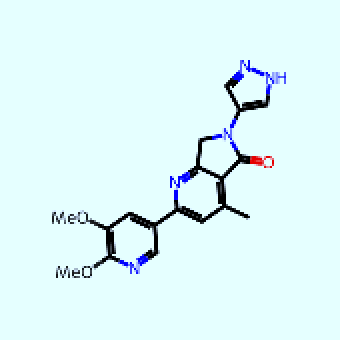 COc1cc(-c2cc(C)c3c(n2)CN(c2cn[nH]c2)C3=O)cnc1OC